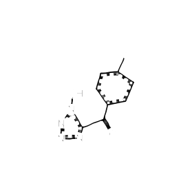 Cn1nnnc1C(=O)c1ccc(F)cc1